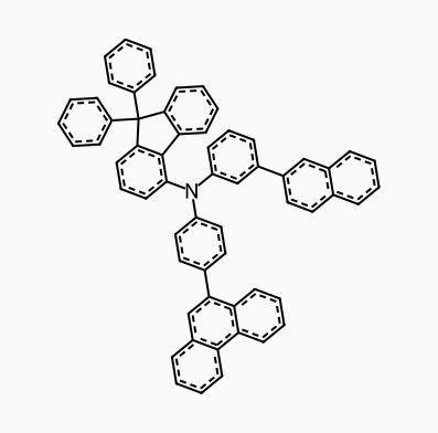 c1ccc(C2(c3ccccc3)c3ccccc3-c3c(N(c4ccc(-c5cc6ccccc6c6ccccc56)cc4)c4cccc(-c5ccc6ccccc6c5)c4)cccc32)cc1